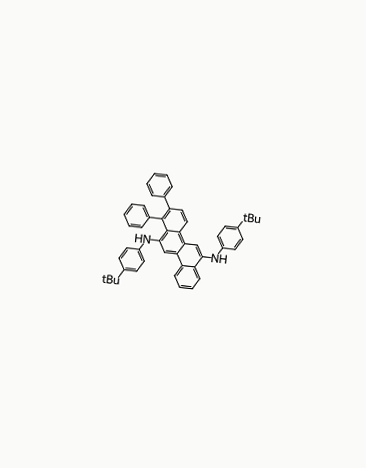 CC(C)(C)c1ccc(Nc2cc3c4ccc(-c5ccccc5)c(-c5ccccc5)c4c(Nc4ccc(C(C)(C)C)cc4)cc3c3ccccc23)cc1